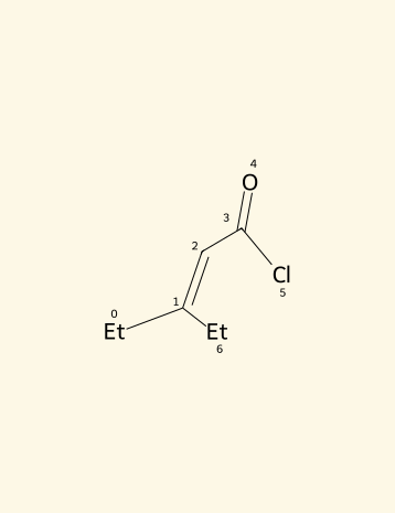 CCC(=CC(=O)Cl)CC